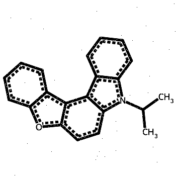 CC(C)n1c2ccccc2c2c3c(ccc21)oc1ccccc13